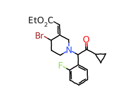 CCOC(=O)/C=C1/CN(C(C(=O)C2CC2)c2ccccc2F)CCC1Br